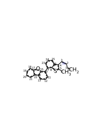 C=C/C=C\c1c(C)sc2c(-c3cccc4c3oc3ccccc34)cccc12